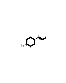 C/[C]=C/[C@H]1CC[C@H](O)CC1